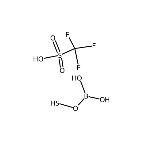 O=S(=O)(O)C(F)(F)F.OB(O)OS